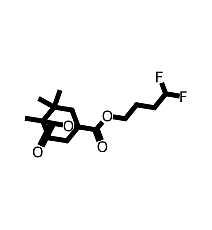 CC1(C)CC2(C(=O)OCCCC(F)F)CCC1(C)C(=O)O2